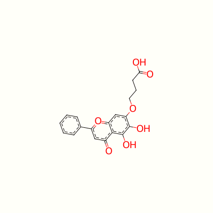 O=C(O)CCCOc1cc2oc(-c3ccccc3)cc(=O)c2c(O)c1O